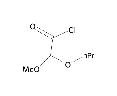 CCCOC(OC)C(=O)Cl